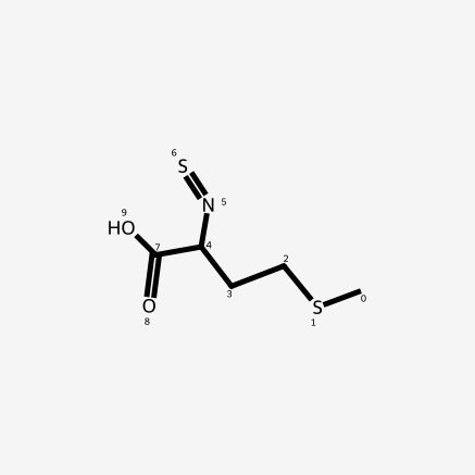 CSCCC(N=S)C(=O)O